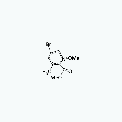 COC(=O)c1c(C)cc(Br)c[n+]1OC